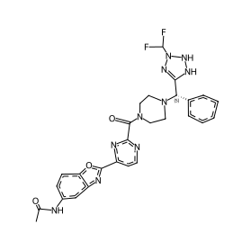 CC(=O)Nc1ccc2oc(-c3ccnc(C(=O)N4CCN([C@H](C5=NN(C(F)F)NN5)c5ccccc5)CC4)n3)nc2c1